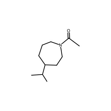 CC(=O)N1CCCC(C(C)C)CC1